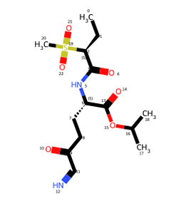 CC[C@@H](C(=O)N[C@@H](CCC(=O)C=N)C(=O)OC(C)C)S(C)(=O)=O